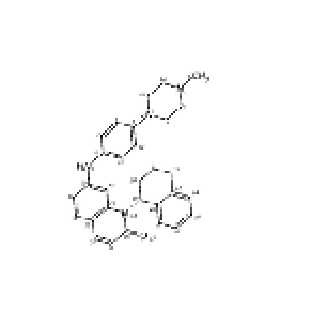 CN1CCN(c2ccc(Nc3ccc4ccc(=O)n([C@@H]5CCCc6ccccc65)c4c3)cc2)CC1